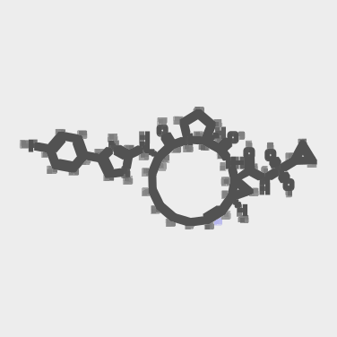 O=C1N[C@]2(C(=O)NS(=O)(=O)C3CC3)C[C@H]2/C=C\CCCCC[C@H](Nc2nc(-c3ccc(F)cc3)cs2)C(=O)N2CCC[C@@H]12